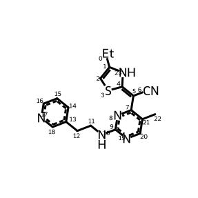 CCC1=CSC(=C(C#N)c2nc(NCCc3cccnc3)ncc2C)N1